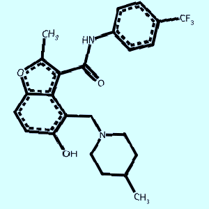 Cc1oc2ccc(O)c(CN3CCC(C)CC3)c2c1C(=O)Nc1ccc(C(F)(F)F)cc1